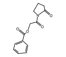 O=C(OCC(=O)N1CCCC1=O)c1ccccc1